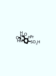 CCCc1c(S(=O)(=O)O)ccc2[nH]c(=O)[nH]c(=O)c12